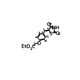 CCOC(=O)COc1ccc(/C=C2\SC(=O)NC2=O)cc1